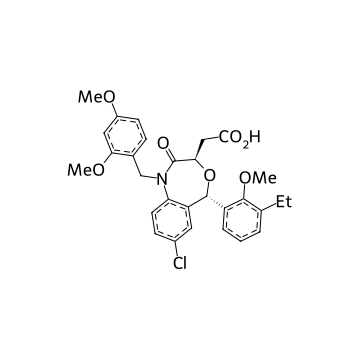 CCc1cccc([C@H]2O[C@H](CC(=O)O)C(=O)N(Cc3ccc(OC)cc3OC)c3ccc(Cl)cc32)c1OC